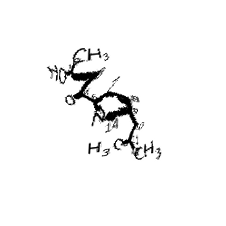 C/C(O)=C/C(=O)c1ccc(CC(C)C)cn1